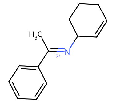 C/C(=N\C1C=CCCC1)c1ccccc1